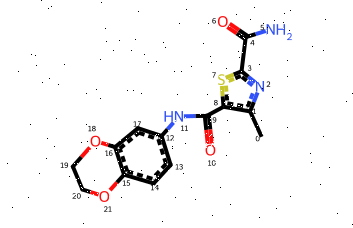 Cc1nc(C(N)=O)sc1C(=O)Nc1ccc2c(c1)OCCO2